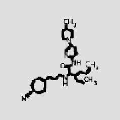 C\C=C/C=C(\C=C/C)C(NCCC/C1=C/C=C\C(C#N)/C=C\C1)C(=O)Nc1ccc(N2CCC(C)CC2)cn1